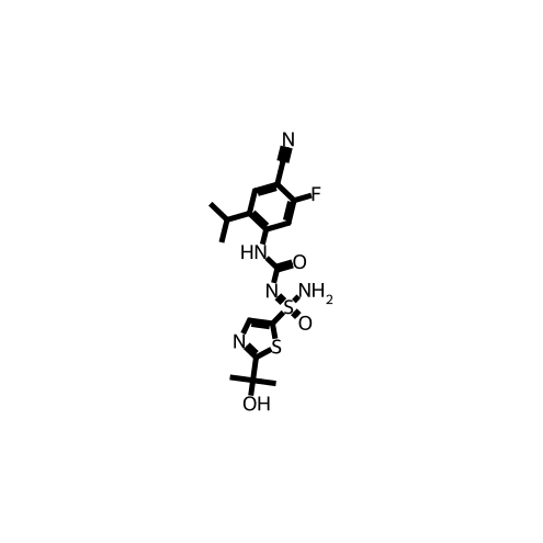 CC(C)c1cc(C#N)c(F)cc1NC(=O)N=S(N)(=O)c1cnc(C(C)(C)O)s1